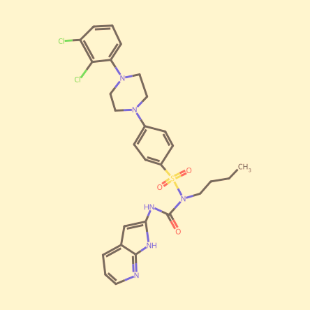 CCCCN(C(=O)Nc1cc2cccnc2[nH]1)S(=O)(=O)c1ccc(N2CCN(c3cccc(Cl)c3Cl)CC2)cc1